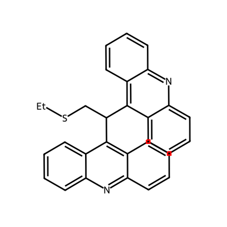 CCSCC(c1c2ccccc2nc2ccccc12)c1c2ccccc2nc2ccccc12